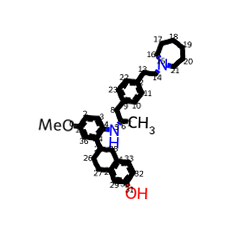 COc1ccc(NC(C)Cc2ccc(CCN3CCCCCC3)cc2)c(C2CCc3cc(O)ccc3C2)c1